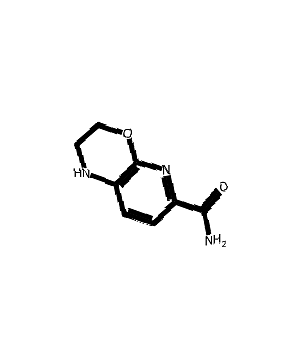 NC(=O)c1ccc2c(n1)OCCN2